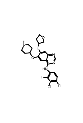 Fc1c(Nc2ncnc3cc(O[C@H]4CCOC4)c(OC4CCNCC4)cc23)ccc(Cl)c1Cl